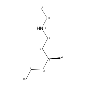 CCC[C@H](C)CCNCC